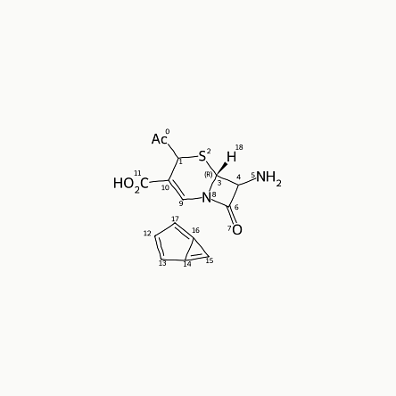 CC(=O)C1S[C@@H]2C(N)C(=O)N2C=C1C(=O)O.c1cc2cc-2c1